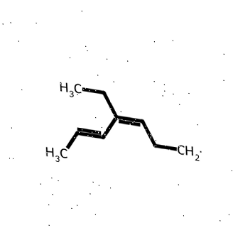 [CH2]CC=C(C=CC)CC